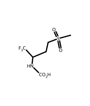 CS(=O)(=O)CCC(NC(=O)O)C(F)(F)F